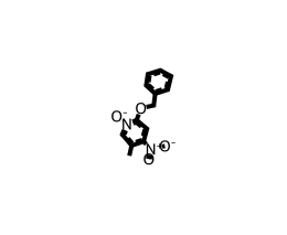 Cc1c[n+]([O-])c(OCc2ccccc2)cc1[N+](=O)[O-]